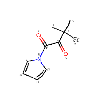 CCC(C)(C)C(=O)C(=O)n1cccc1